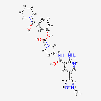 Cn1cc(-c2cnc(N)c(C(=O)N[C@@H]3CCN(C(=O)Oc4cccc(C(=O)N5CCCCC5)c4)C3)c2)cn1